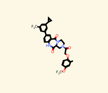 Cc1cc(OC(F)(F)F)ccc1OCC(=O)N1CCN2C(=O)c3cc(-c4cc(C5CC5)cc(C(F)(F)F)c4)ccc3NC(=O)C2C1